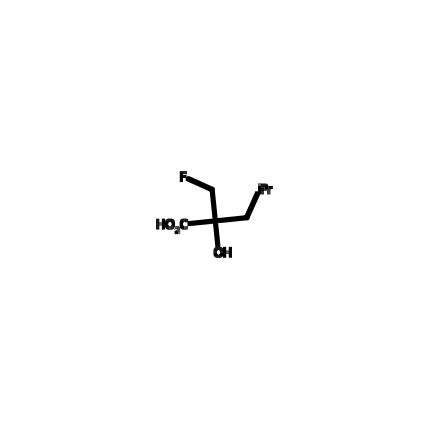 CC(C)CC(O)(CF)C(=O)O